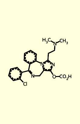 CN(C)CCc1nc(OC(=O)O)c2n1-c1ccccc1C(c1ccccc1Cl)=NC2